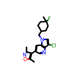 Cc1noc(C)c1-c1cnc2c(Cl)cn(CC3CCC(C)(F)CC3)c2c1